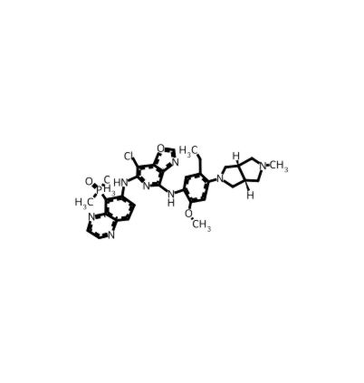 CCc1cc(Nc2nc(Nc3ccc4nccnc4c3P(C)(C)=O)c(Cl)c3ocnc23)c(OC)cc1N1C[C@H]2CN(C)C[C@H]2C1